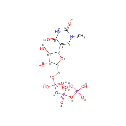 Cn1cc([C@@H]2O[C@H](COP(=O)(O)OP(=O)(O)OP(=O)(O)O)[C@H](O)C2O)c(=O)[nH]c1=O